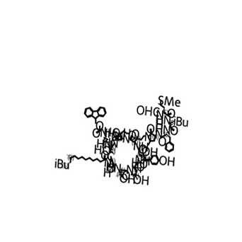 CCC(C)[C@H](NC(=O)[C@H](CCSC)NC=O)C(=O)N[C@@H](Cc1ccccc1)C(=O)N[C@H]1CC(C)N(CC[C@@H](O)[C@@H]2NC(=O)[C@H]([C@H](O)[C@@H](O)c3ccc(O)cc3)NC(=O)[C@@H]3C[C@@H](O)CN3C(=O)[C@H]([C@@H](C)O)NC(=O)[C@@H](NC(=O)CCCCCCCC[C@@H](C)C[C@@H](C)CC)C[C@@H](O)[C@@H](NCCNC(=O)OCC3c4ccccc4-c4ccccc43)NC(=O)[C@@H]3[C@@H](O)CCN3C2=O)C1=O